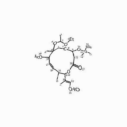 CCOC(C)OC1(C)CCC(O[Si](C)(C)C(C)(C)C)CC(=O)OC(C(C)=CC=O)C(C)C=CC1OC(C)=O